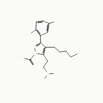 CCCCCc1c(-c2cc(C)ccc2O)nn(C(N)=O)c1CCN(C)C